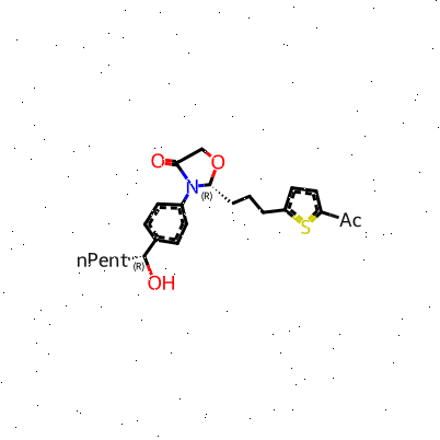 CCCCC[C@@H](O)c1ccc(N2C(=O)CO[C@@H]2CCCc2ccc(C(C)=O)s2)cc1